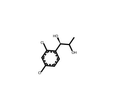 CC(O)[C@H](O)c1ccc(Cl)cc1Cl